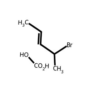 CC=CC(C)Br.O=C(O)O